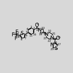 O=C(c1ccc(-c2ccc(C(F)(F)F)s2)cc1)N1CC(N2CCN(C(=O)c3cscn3)CC2)C1